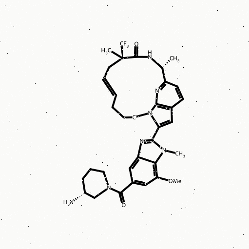 COc1cc(C(=O)N2CCC[C@@H](N)C2)cc2nc(-c3cc4ccc5nc4n3CCC/C=C/C[C@@](C)(C(F)(F)F)C(=O)N[C@@H]5C)n(C)c12